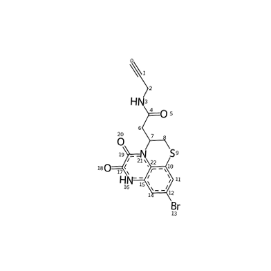 C#CCNC(=O)CC1CSc2cc(Br)cc3[nH]c(=O)c(=O)n1c23